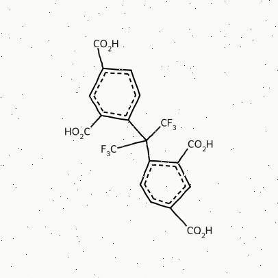 O=C(O)c1ccc(C(c2ccc(C(=O)O)cc2C(=O)O)(C(F)(F)F)C(F)(F)F)c(C(=O)O)c1